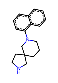 c1ccc2c(N3CCCC4(CCNC4)C3)cccc2c1